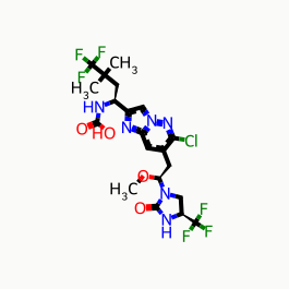 CO[C@@H](Cc1cc2nc([C@H](CC(C)(C)C(F)(F)F)NC(=O)O)cn2nc1Cl)N1C[C@@H](C(F)(F)F)NC1=O